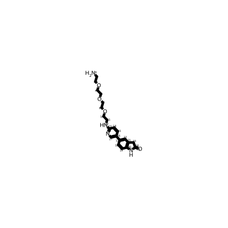 NCCOCCOCCOCCNc1ccc(-c2ccc3c(c2)CC(=O)N3)cn1